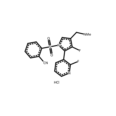 CNCc1cn(S(=O)(=O)c2ccccc2C#N)c(-c2cccnc2F)c1F.Cl